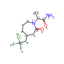 CCC(C(N)=O)N1CCCC(CC(F)(F)Cl)CC1=O